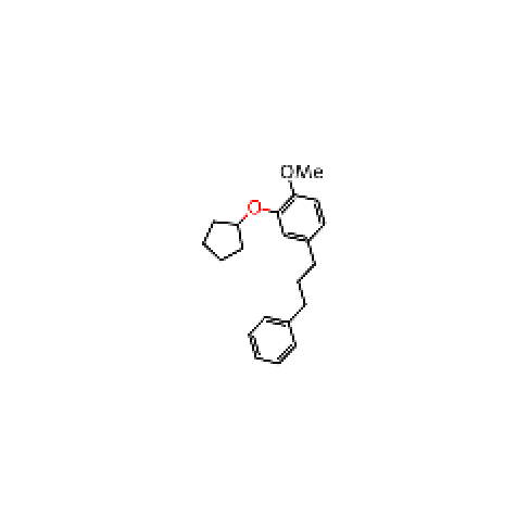 COc1ccc(CCCc2ccccc2)cc1OC1CCCC1